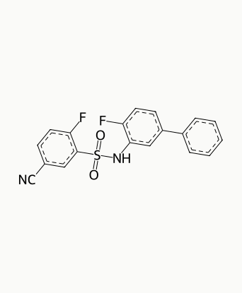 N#Cc1ccc(F)c(S(=O)(=O)Nc2cc(-c3ccccc3)ccc2F)c1